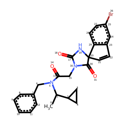 CC(C1CC1)N(Cc1ccccc1)C(=O)CN1C(=O)NC2(C=Cc3cc(Br)ccc32)C1=O